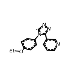 CCOc1ccc(-n2[c]nnc2-c2cccnc2)cc1